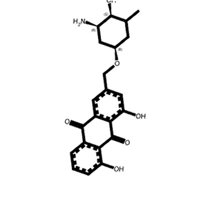 CC1C[C@@H](OCc2cc(O)c3c(c2)C(=O)c2cccc(O)c2C3=O)C[C@@H](N)[C@H]1O